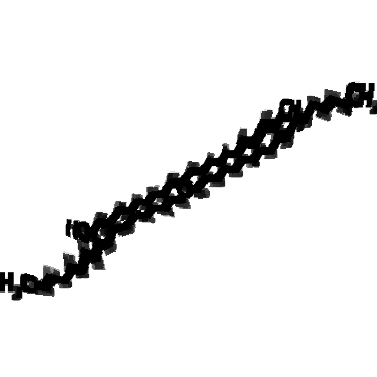 CCCCCCCCCCCCCCCCCCCCCCO.CCCCCCCCCCCCCCCCCCOCCCCCCCCCCCCCCCCCC